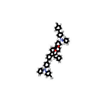 Cc1ccc(-c2ccc(N(c3ccccc3)c3ccc(-c4ccc5c(c4)C(Cc4ccccc4)(Cc4ccccc4)c4cc(-c6ccc(N(c7ccccc7)c7ccc(C)cc7)cc6)ccc4-5)cc3)cc2)cc1